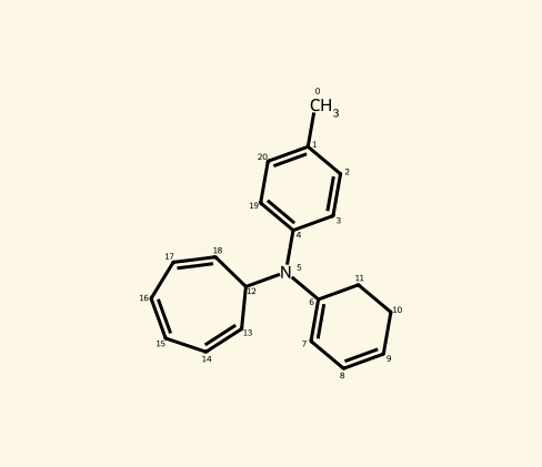 Cc1ccc(N(C2=CC=CCC2)C2C=CC=CC=C2)cc1